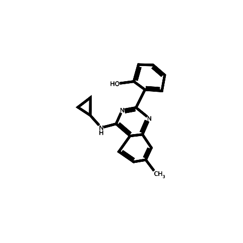 Cc1ccc2c(NC3CC3)nc(-c3ccccc3O)nc2c1